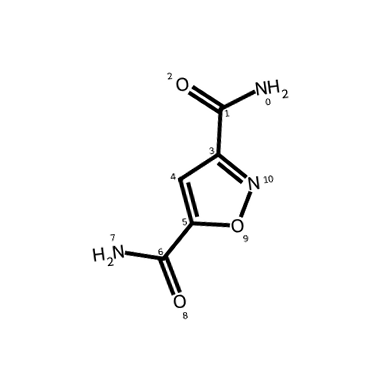 NC(=O)c1cc(C(N)=O)on1